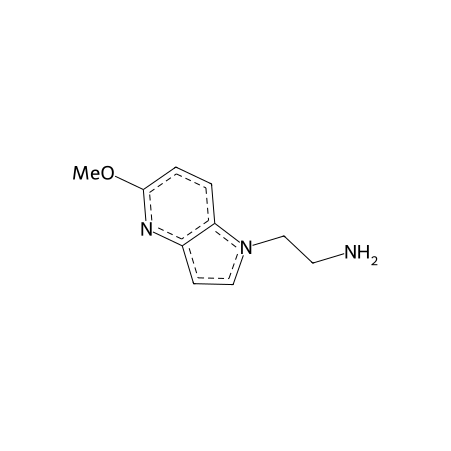 COc1ccc2c(ccn2CCN)n1